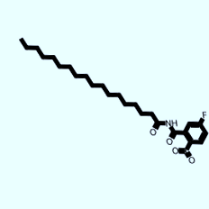 CCCCCCCCCCCCCCCCCC(=O)NC(=O)c1cc(F)ccc1I(=O)=O